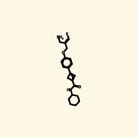 NC/C(=C\F)COc1ccc(C23CC(C(=O)NC4CCCCC4)(C2)C3)cc1